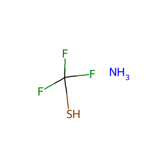 FC(F)(F)S.N